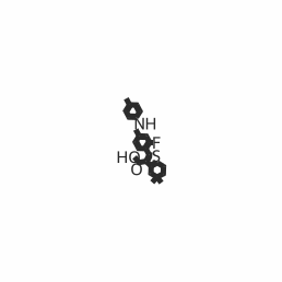 Cc1ccc(NCc2ccc(-c3sc4c(c3C(=O)O)CC(C)(C)CC4)c(F)c2)cc1